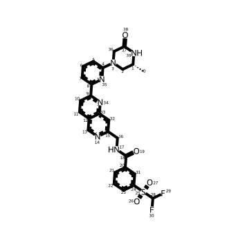 C[C@@H]1CN(c2cccc(-c3ccc4cnc(CNC(=O)c5cccc(S(=O)(=O)C(F)F)c5)cc4n3)n2)CC(=O)N1